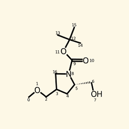 COCC1C[C@@H](CO)N(C(=O)OC(C)(C)C)C1